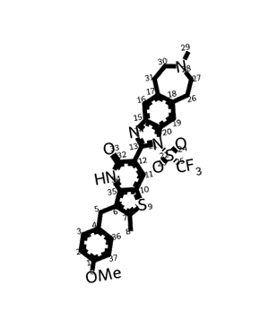 COc1ccc(Cc2c(C)sc3cc(-c4nc5cc6c(cc5n4S(=O)(=O)C(F)(F)F)CCN(C)CC6)c(=O)[nH]c23)cc1